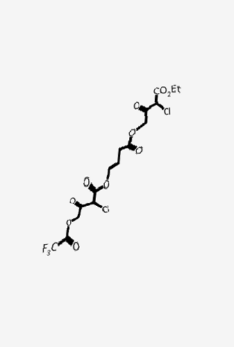 CCOC(=O)C(Cl)C(=O)COC(=O)CCCOC(=O)C(Cl)C(=O)COC(=O)C(F)(F)F